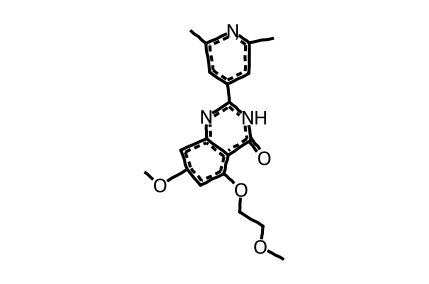 COCCOc1cc(OC)cc2nc(-c3cc(C)nc(C)c3)[nH]c(=O)c12